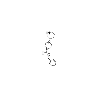 O=C(OCc1ccccc1)N1CCN(C2CCCNC2)CC1